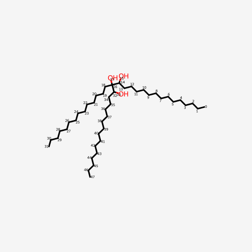 CCCCCCCCCCCCCCC(O)C(O)(CCCCCCCCCCCCCC)C(O)CCCCCCCCCCCCCC